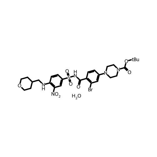 CC(C)(C)OC(=O)N1CCN(c2ccc(C(=O)NS(=O)(=O)c3ccc(NCC4CCOCC4)c([N+](=O)[O-])c3)c(Br)c2)CC1.O